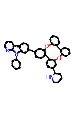 C1=CCNC(c2ccc3c(c2)Oc2ccccc2-c2ccccc2Oc2cc(-c4ccc5c6cccnc6n(-c6ccccc6)c5c4)ccc2-3)=C1